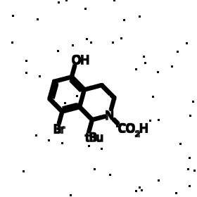 CC(C)(C)C1c2c(Br)ccc(O)c2CCN1C(=O)O